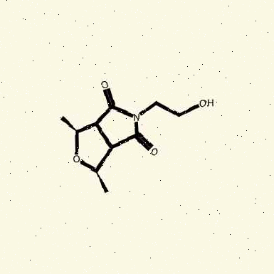 C[C@@H]1O[C@H](C)C2C(=O)N(CCO)C(=O)C21